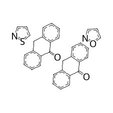 O=C1c2ccccc2Cc2ccccc21.O=C1c2ccccc2Cc2ccccc21.c1cnoc1.c1cnsc1